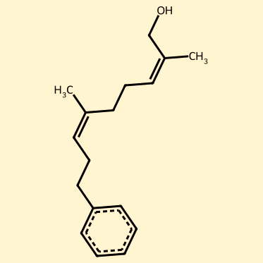 CC(=CCCC(C)=CCCc1ccccc1)CO